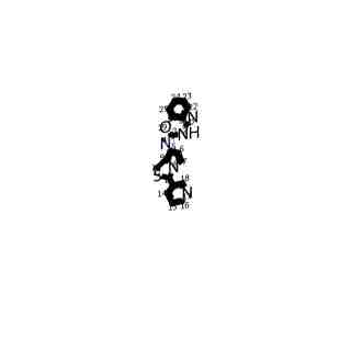 N#CN/C(=N\c1ccn2c1CSC2c1cccnc1)Oc1ccccc1